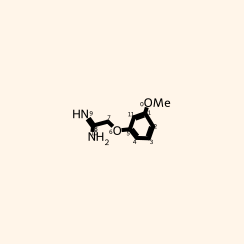 COc1cccc(OCC(=N)N)c1